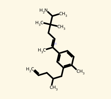 C=CCC(C)Cc1cc(/C(C)=C/CC(C)(C)C(C)N)ccc1C